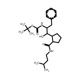 CC(C)CCNC(=O)C1CCCC1C(O)C(Cc1ccccc1)NC(=O)OC(C)(C)C